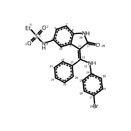 CCS(=O)(=O)Nc1ccc2c(c1)/C(=C(/Nc1ccc(Br)cc1)c1ccccc1)C(=O)N2